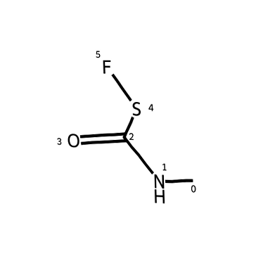 CNC(=O)SF